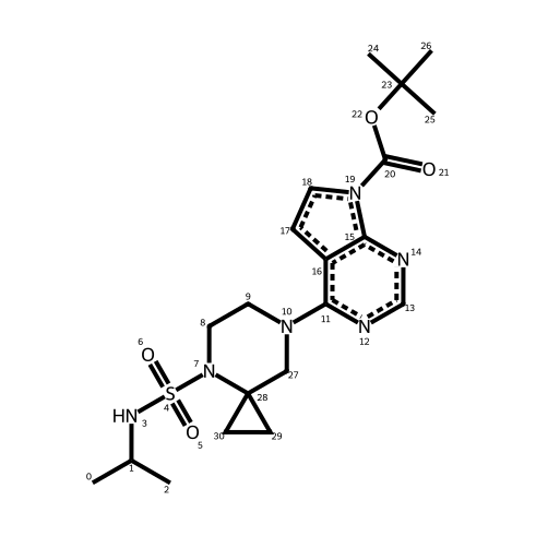 CC(C)NS(=O)(=O)N1CCN(c2ncnc3c2ccn3C(=O)OC(C)(C)C)CC12CC2